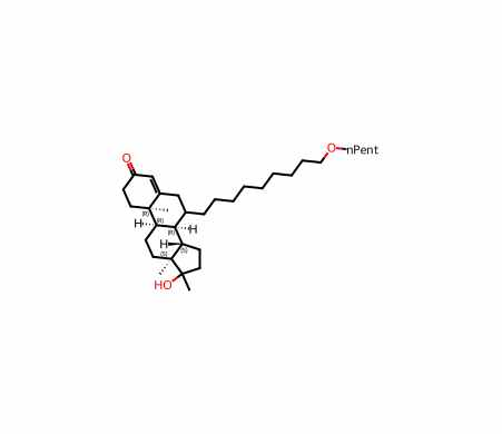 CCCCCOCCCCCCCCCC1CC2=CC(=O)CC[C@]2(C)[C@@H]2CC[C@@]3(C)[C@@H](CCC3(C)O)[C@H]12